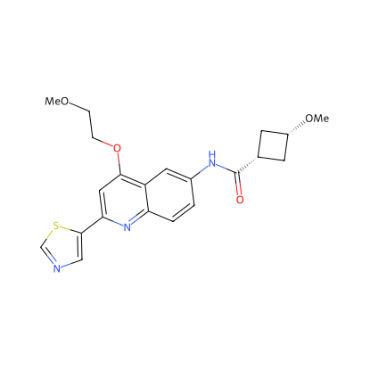 COCCOc1cc(-c2cncs2)nc2ccc(NC(=O)[C@H]3C[C@@H](OC)C3)cc12